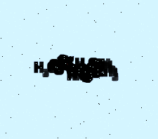 COC(=O)[C@@H]1CCCCN1Cc1cnc(C(=O)Nc2cccc(B3OC(C)(C)C(C)(C)O3)c2Cl)cc1C1CC1